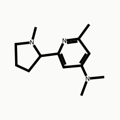 Cc1cc(N(C)C)cc(C2CCCN2C)n1